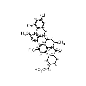 C[C@@H]1CC(N(Cc2cc(Cl)cc(Cl)c2)c2nnn(C)n2)c2cc(C(F)(F)F)ccc2N1C(=O)[C@H]1CC[C@H](CC(=O)O)CC1